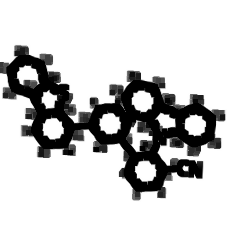 N#Cc1cccc(-c2cccc(-c3cccc4c3sc3ccccc34)c2)c1-n1c2ccccc2c2ccccc21